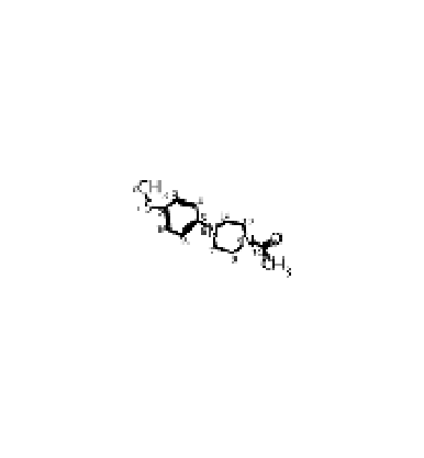 CSc1ccc(N2CCN(C(C)=O)CC2)cc1